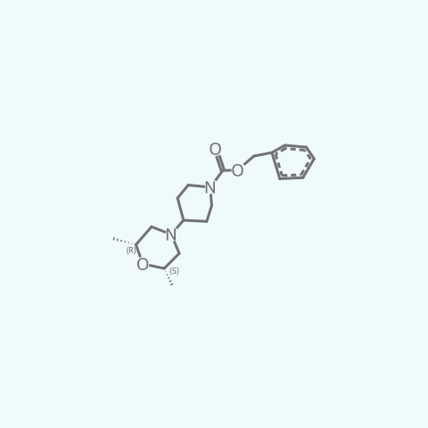 C[C@@H]1CN(C2CCN(C(=O)OCc3ccccc3)CC2)C[C@H](C)O1